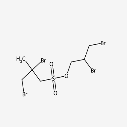 CC(Br)(CBr)CS(=O)(=O)OCC(Br)CBr